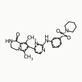 Cc1c(-c2ccnc(Nc3cccc(S(=O)(=O)N4CCCCC4)c3)n2)c(C)n2c1C(=O)NCC2